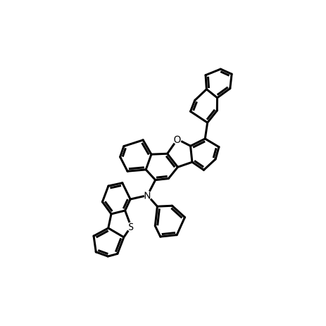 c1ccc(N(c2cc3c4cccc(-c5ccc6ccccc6c5)c4oc3c3ccccc23)c2cccc3c2sc2ccccc23)cc1